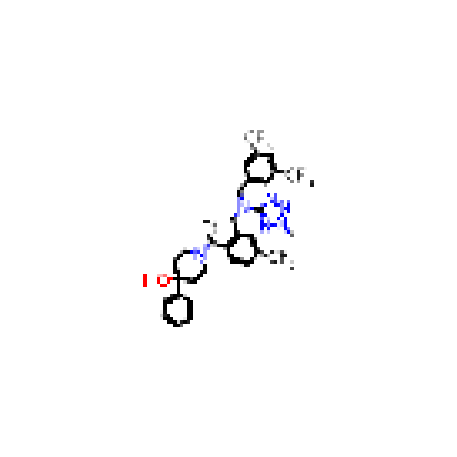 CCC(c1ccc(C(F)(F)F)cc1CN(Cc1cc(C(F)(F)F)cc(C(F)(F)F)c1)c1nnn(C)n1)N1CCC(O)(c2ccccc2)CC1